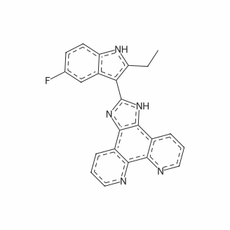 CCc1[nH]c2ccc(F)cc2c1-c1nc2c3cccnc3c3ncccc3c2[nH]1